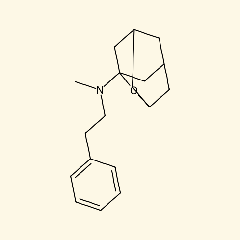 CN(CCc1ccccc1)C12CC3CC(CC(C3)O1)C2